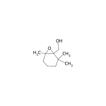 CC1(C)CCCC2(C)OC12CO